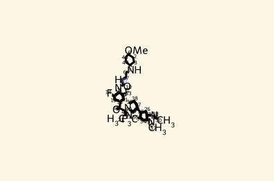 COC1CCC(NC/C=C/C(=O)Nc2c(F)cc(C(=O)c3c(C)nc4c(-c5cc6nc(C)n(C)c6cc5C(F)(F)F)cccn34)cc2F)CC1